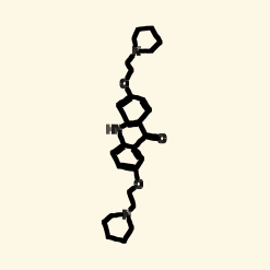 O=c1c2ccc(OCCN3CCCCC3)cc2[nH]c2ccc(OCCN3CCCCC3)cc12